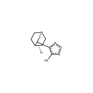 Sc1nsnc1[C@@H]1CN2CCC1CC2